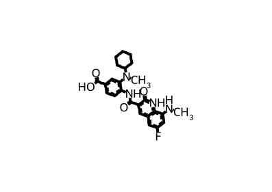 CNc1cc(F)cc2cc(C(=O)Nc3ccc(C(=O)O)cc3N(C)C3CCCCC3)c(=O)[nH]c12